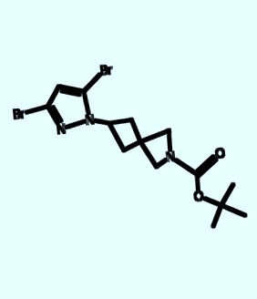 CC(C)(C)OC(=O)N1CC2(CC(n3nc(Br)cc3Br)C2)C1